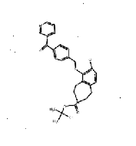 CC(C)(C)OC(=O)N1CCc2ccc(Cl)c(SCc3ccc(C(=O)c4cccnc4)cc3)c2CC1